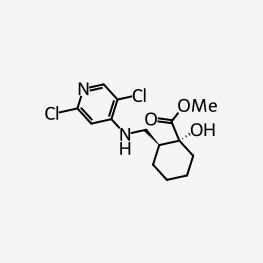 COC(=O)[C@@]1(O)CCCC[C@H]1CNc1cc(Cl)ncc1Cl